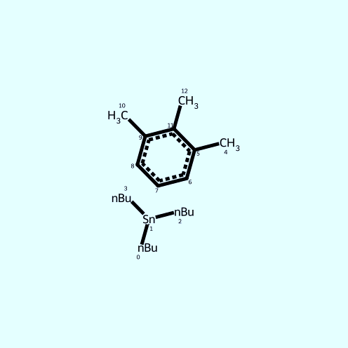 CCC[CH2][Sn]([CH2]CCC)[CH2]CCC.Cc1cccc(C)c1C